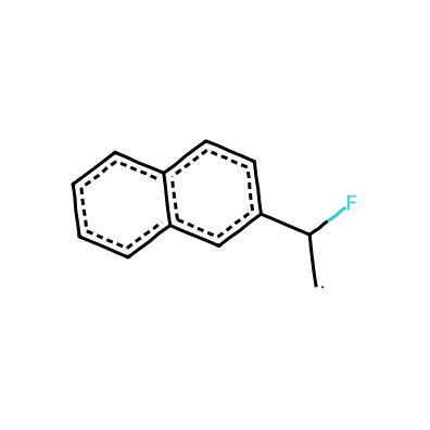 [CH2]C(F)c1ccc2ccccc2c1